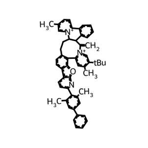 C=C1C2c3ccccc3-c3ccc(C)c[n+]3C2CCc2ccc3c(oc4nc(-c5c(C)cc(-c6ccccc6)cc5C)ccc43)c2-c2cc(C)c(C(C)(C)C)c[n+]21